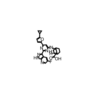 O=C(O)[C@H]1C2CCC(CC2)[C@@H]1Nc1cc(-c2ccc(C3CC3)o2)nc(-c2n[nH]c3ncc(F)cc23)n1